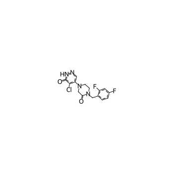 O=C1CN(c2cn[nH]c(=O)c2Cl)CCN1Cc1ccc(F)cc1F